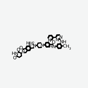 Cc1ccc(NC(=O)c2ccc(N3CCC(N(C)Cc4cc5c(cc4F)C(=O)N(C4CCC(=O)NC4=O)C5)CC3)cc2)cc1Nc1nccc(-c2cccnc2)n1